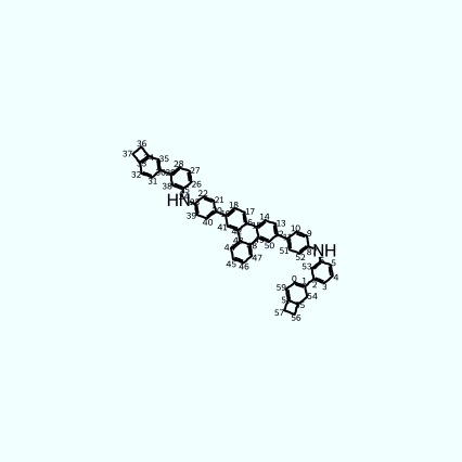 C1=C(c2cccc(Nc3ccc(-c4ccc5c6ccc(-c7ccc(Nc8cccc(-c9ccc%10c(c9)CC%10)c8)cc7)cc6c6ccccc6c5c4)cc3)c2)CC2CCC2=C1